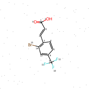 O=C(O)C=Cc1ccc(C(F)(F)F)cc1Br